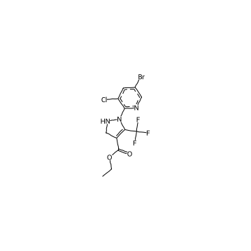 CCOC(=O)C1=C(C(F)(F)F)N(c2ncc(Br)cc2Cl)NC1